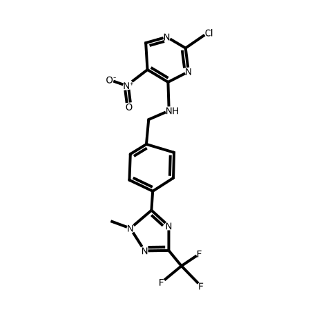 Cn1nc(C(F)(F)F)nc1-c1ccc(CNc2nc(Cl)ncc2[N+](=O)[O-])cc1